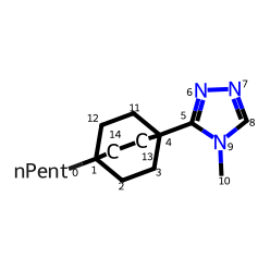 CCCCCC12CCC(c3nncn3C)(CC1)CC2